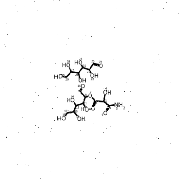 NC(=O)C(O)C(=O)OC(C=O)C(O)C(O)C(O)CO.O=CC(O)C(O)C(O)C(O)CO